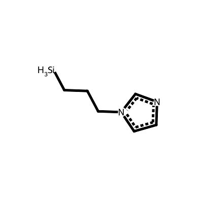 [SiH3]CCCn1ccnc1